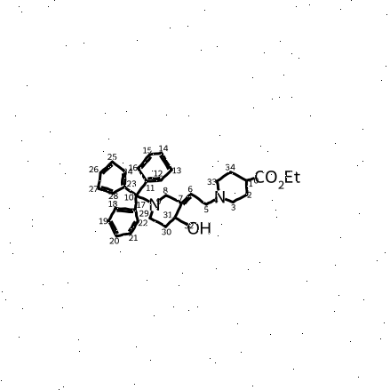 CCOC(=O)C1CCN(C/C=C2/CN(C(c3ccccc3)(c3ccccc3)c3ccccc3)CCC2O)CC1